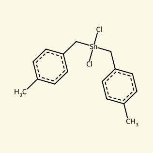 Cc1ccc([CH2][Sn]([Cl])([Cl])[CH2]c2ccc(C)cc2)cc1